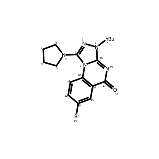 CCCCn1nc(N2CCCC2)n2c3ccc(Br)cc3c(=O)nc12